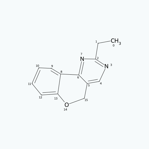 CCc1ncc2c(n1)-c1ccccc1OC2